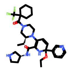 CCOC1(c2cccnc2)C=CC(N2CCN(C(=O)C3(C(F)(F)F)CCCCC3)C[C@H]2CC)=C(C(=O)N[C@@H]2CCNC2)N1